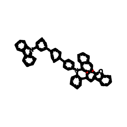 c1cc(-c2ccc(-c3ccc(N(c4ccccc4-c4ccc5oc6ccccc6c5c4)c4cccc5ccccc45)cc3)cc2)cc(-n2c3ccccc3c3ccccc32)c1